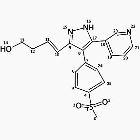 CS(=O)(=O)c1ccc(-c2c(C=CCCO)n[nH]c2-c2cccnc2)cc1